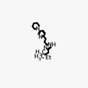 CCC(C)(C)Cc1c[nH]c(CCc2ccc(N3CCCCC3)cn2)n1